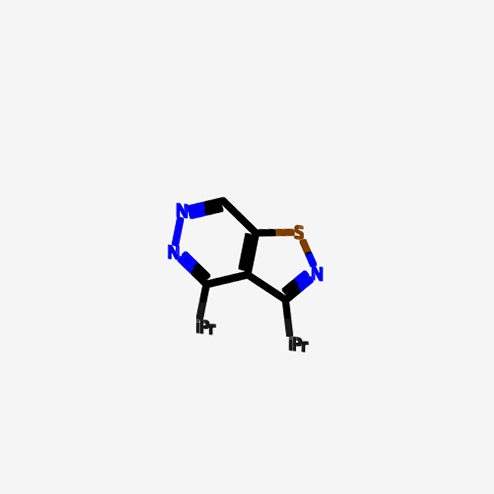 CC(C)c1nncc2snc(C(C)C)c12